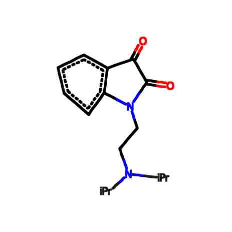 CC(C)N(CCN1C(=O)C(=O)c2ccccc21)C(C)C